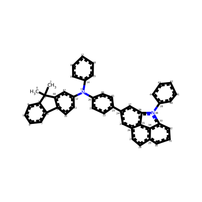 CC1(C)c2ccccc2-c2ccc(N(c3ccccc3)c3ccc(-c4cc5ccc6cccc7c6c5c(c4)n7-c4ccccc4)cc3)cc21